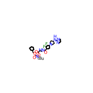 CC(C)(C)N(OC(=O)CCNC(=O)c1ccc(N2CCC(Nc3ncccn3)CC2)c(F)c1F)C(=O)OCc1ccccc1